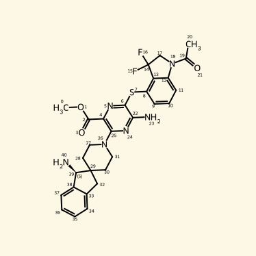 COC(=O)c1nc(Sc2cccc3c2C(F)(F)CN3C(C)=O)c(N)nc1N1CCC2(CC1)Cc1ccccc1[C@H]2N